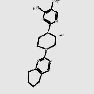 CC(=O)[C@@H]1CN(c2ncc3c(n2)CCCC3)CCN1c1ncc(C(=O)O)c(N)n1